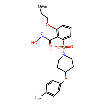 COCCOc1cccc(S(=O)(=O)N2CCC(Oc3ccc(C(F)(F)F)cc3)CC2)c1C(=O)NO